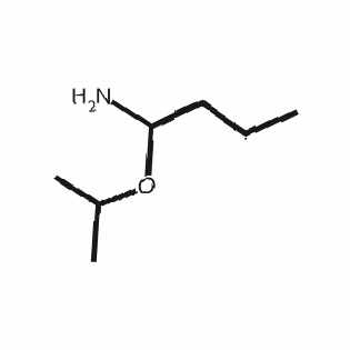 C[CH]CC(N)OC(C)C